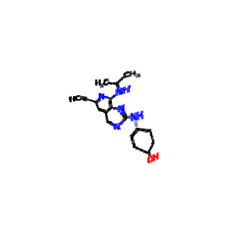 C#Cc1cc2cnc(N[C@H]3CC[C@H](O)CC3)nc2c(NC(C)C)n1